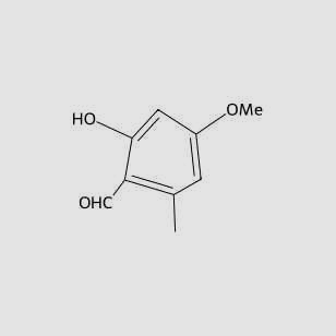 COc1cc(C)c(C=O)c(O)c1